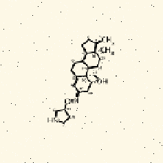 C=C1CCC2C3CCC4=CC(=NOC5CCNC5)CC[C@]4(CO)C3CC[C@]12C